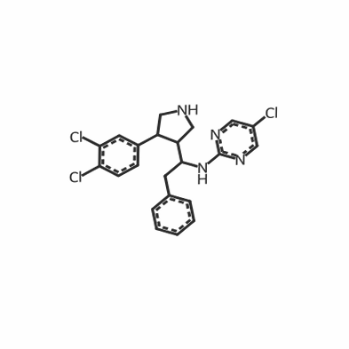 Clc1cnc(NC(Cc2ccccc2)C2CNCC2c2ccc(Cl)c(Cl)c2)nc1